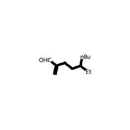 C=C([C]=O)CCC(CC)CCCC